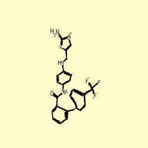 Nc1nc(CNc2ccc(NC(=O)c3ccccc3-c3ccc(C(F)(F)F)cc3)cc2)cs1